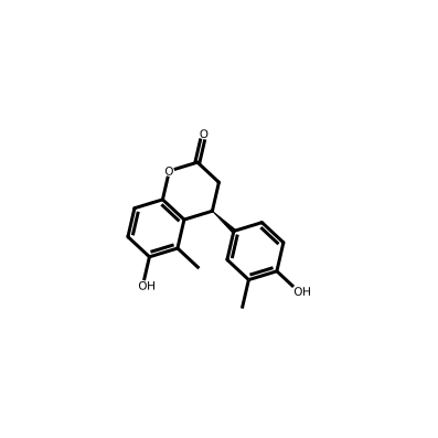 Cc1cc([C@@H]2CC(=O)Oc3ccc(O)c(C)c32)ccc1O